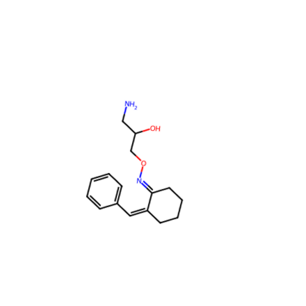 NCC(O)CON=C1CCCCC1=Cc1ccccc1